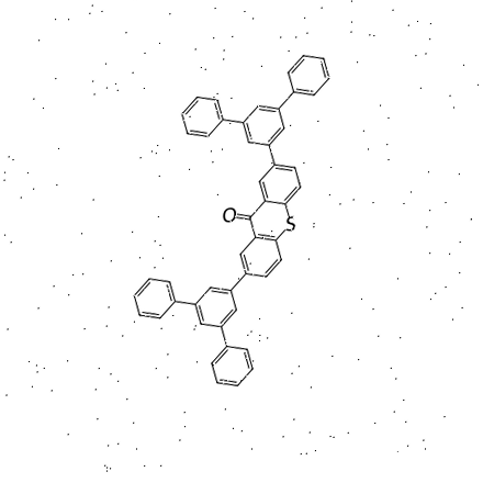 O=c1c2cc(-c3cc(-c4ccccc4)cc(-c4ccccc4)c3)ccc2sc2ccc(-c3cc(-c4ccccc4)cc(-c4ccccc4)c3)cc12